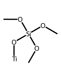 CO[Si](OC)(OC)[O][Ti]